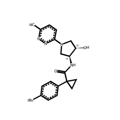 CC(C)(C)c1ccc(C2(C(=O)N[C@H]3CN(c4ccc(C#N)nn4)C[C@@H]3O)CC2)cc1